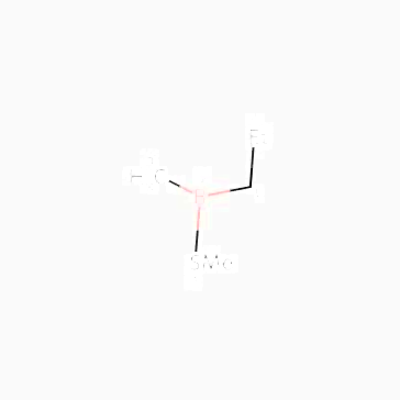 CCCB(C)SC